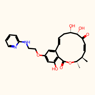 C[C@@H]1/C=C\C(=O)[C@@H](O)[C@@H](O)C/C=C/c2cc(OCCNc3ccccn3)cc(O)c2C(=O)O[C@H]1C